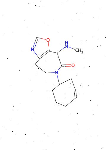 CNC1C(=O)N(C2CC=CCCC2)CCc2ncoc21